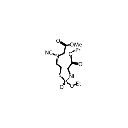 CCO[P@](=O)(NCC(=O)OC(C)C)SCCN(C#N)CC(=O)OC